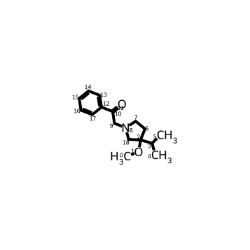 COC1(C(C)C)CCN(CC(=O)c2ccccc2)C1